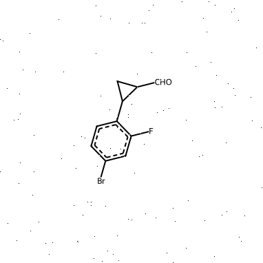 O=CC1CC1c1ccc(Br)cc1F